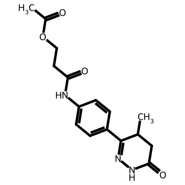 CC(=O)OCCC(=O)Nc1ccc(C2=NNC(=O)CC2C)cc1